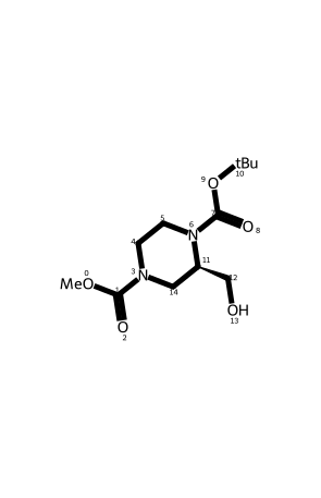 COC(=O)N1CCN(C(=O)OC(C)(C)C)[C@@H](CO)C1